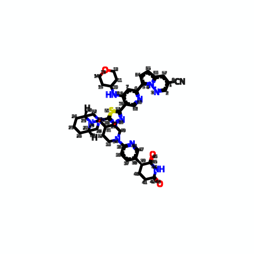 N#Cc1cnn2c(-c3cc(NC4CCOCC4)c(-c4nnc(N5C[C@H]6CCC[C@@H](C5)N6CC5CCN(c6ccc([C@@H]7CCC(=O)NC7=O)cn6)CC5)s4)cn3)ccc2c1